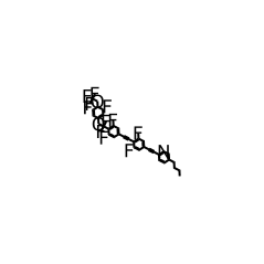 CCCCc1ccc(C#Cc2cc(F)c(C#Cc3cc(F)c(C(F)(F)OC4=CC(F)C(OC(F)(F)F)C(F)=C4)c(F)c3)c(F)c2)nc1